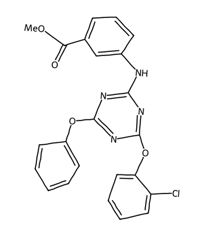 COC(=O)c1cccc(Nc2nc(Oc3ccccc3)nc(Oc3ccccc3Cl)n2)c1